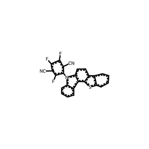 N#Cc1c(F)c(F)c(C#N)c(-n2c3ccccc3c3c4sc5ccccc5c4ccc32)c1F